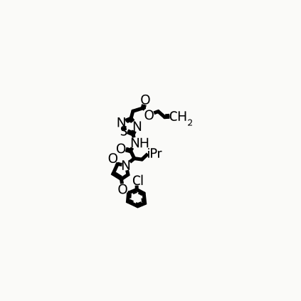 C=CCOC(=O)Cc1nsc(NC(=O)C(CC(C)C)N2CC(Oc3ccccc3Cl)=CC2=O)n1